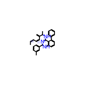 C=C(/C=C\C=C/C)C(C)N/C(=N/C(=N)c1cccc(C)c1)c1c(C)cccc1-c1ccccc1